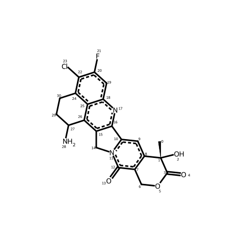 C[C@@]1(O)C(=O)OCc2c1cc1n(c2=O)Cc2c-1nc1cc(F)c(Cl)c3c1c2C(N)CC3